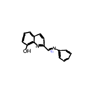 Oc1cccc2ccc(/C=N/c3ccccc3)nc12